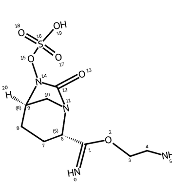 N=C(OCCN)[C@@H]1CC[C@@H]2CN1C(=O)N2OS(=O)(=O)O